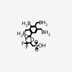 BCc1cc(C(=O)OC(CS(=O)(=O)O)C(F)(F)F)c(CB)c(B)c1CB